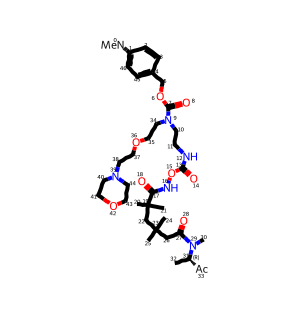 CNc1ccc(COC(=O)N(CCNC(=O)ONC(=O)C(C)(C)CC(C)(C)CC(=O)N(C)[C@H](C)C(C)=O)CCOCCN2CCOCC2)cc1